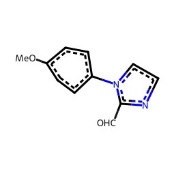 COc1ccc(-n2ccnc2C=O)cc1